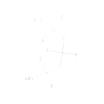 CCCC(F)(F)CC(F)(F)O[Si](F)(F)C(F)(F)F